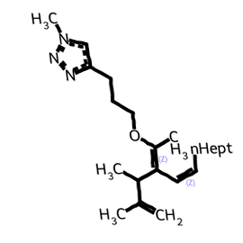 C=C(C)C(C)C(/C=C\CCCCCCC)=C(/C)OCCCc1cn(C)nn1